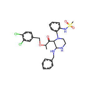 CC(OCc1ccc(Cl)c(Cl)c1)C(=O)C1C(NCc2ccccc2)NCCN1c1ccccc1NS(C)(=O)=O